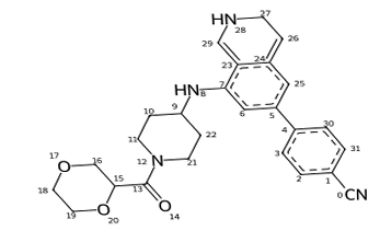 N#Cc1ccc(-c2cc(NC3CCN(C(=O)C4COCCO4)CC3)c3c(c2)=CCNC=3)cc1